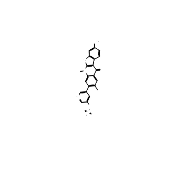 CCn1c2cc(-c3cncc(OS(=O)(=O)F)c3)c(C)cc2c(=O)c2c3ccc(C#N)cc3[nH]c21